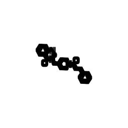 O=C(CCc1ccccc1)N1CCC(Cn2cnc3ccccc3c2=O)CC1